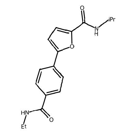 CCNC(=O)c1ccc(-c2ccc(C(=O)NC(C)C)o2)cc1